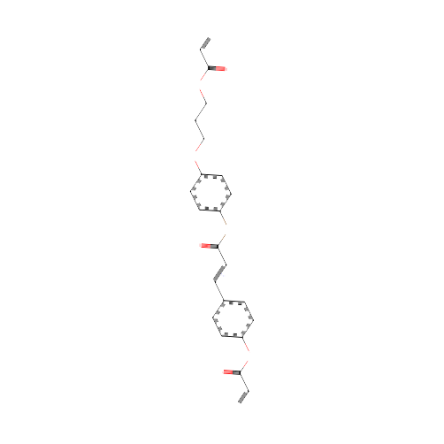 C=CC(=O)OCCCOc1ccc(SC(=O)/C=C/c2ccc(OC(=O)C=C)cc2)cc1